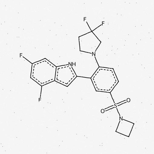 O=S(=O)(c1ccc(N2CCC(F)(F)C2)c(-c2cc3c(F)cc(F)cc3[nH]2)c1)N1CCC1